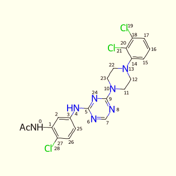 CC(=O)Nc1cc(Nc2ncnc(N3CCN(c4cccc(Cl)c4Cl)CC3)n2)ccc1Cl